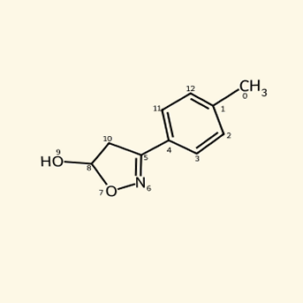 Cc1ccc(C2=NOC(O)C2)cc1